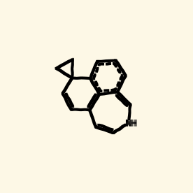 C1=CC2=c3c(cccc3=CN1)C1(C=C2)CC1